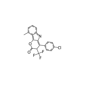 Cc1cccc2c1=C1OC(=O)C(C(F)(F)F)C(c3ccc(Cl)cc3)=C1N=2